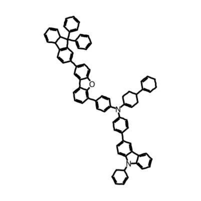 C1=CCC(n2c3ccccc3c3cc(-c4ccc(N(C5=CCC(C6=CCCC=C6)CC5)c5ccc(-c6cccc7c6oc6ccc(-c8ccc9c(c8)C(c8ccccc8)(c8ccccc8)C8C=CC=CC98)cc67)cc5)cc4)ccc32)C=C1